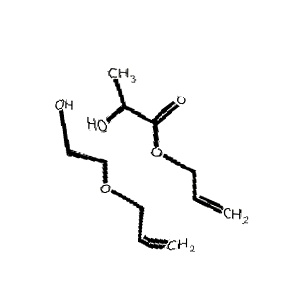 C=CCOC(=O)C(C)O.C=CCOCCO